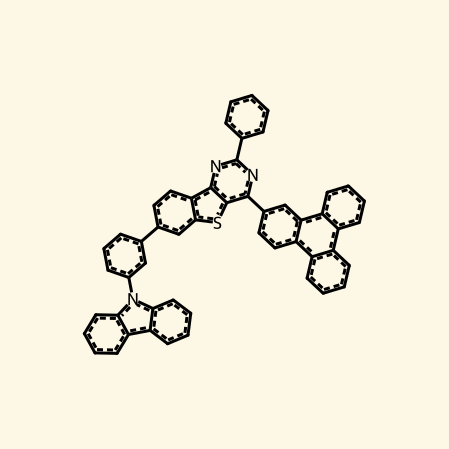 c1ccc(-c2nc(-c3ccc4c5ccccc5c5ccccc5c4c3)c3sc4cc(-c5cccc(-n6c7ccccc7c7ccccc76)c5)ccc4c3n2)cc1